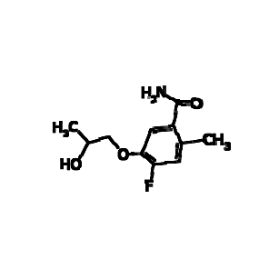 Cc1cc(F)c(OCC(C)O)cc1C(N)=O